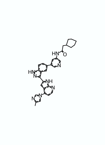 Cc1cn(-c2ccnc3[nH]c(-c4n[nH]c5ccc(-c6cncc(NC(=O)CC7CCCCC7)c6)cc45)cc23)cn1